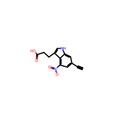 C#Cc1cc([N+](=O)[O-])c2c(CCC(=O)O)c[nH]c2c1